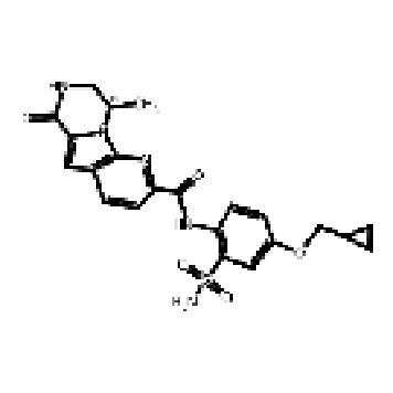 C[C@@H]1CNC(=O)c2cc3ccc(C(=O)Nc4ccc(OCC5CC5)cc4S(N)(=O)=O)nc3n21